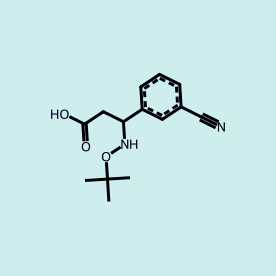 CC(C)(C)ONC(CC(=O)O)c1cccc(C#N)c1